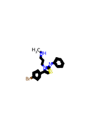 CNCCCn1c(-c2ccc(Br)cc2)csc1=Nc1ccccc1